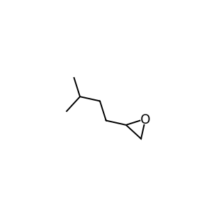 CC(C)CCC1CO1